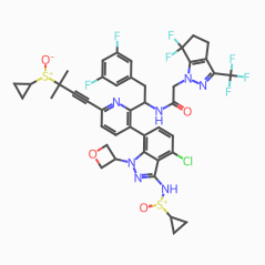 CC(C)(C#Cc1ccc(-c2ccc(Cl)c3c(N[S+]([O-])C4CC4)nn(C4COC4)c23)c(C(Cc2cc(F)cc(F)c2)NC(=O)Cn2nc(C(F)(F)F)c3c2C(F)(F)CC3)n1)[S+]([O-])C1CC1